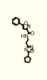 O=C(NCCc1noc(C2CCCC2)n1)c1cc(-c2ccccc2)on1